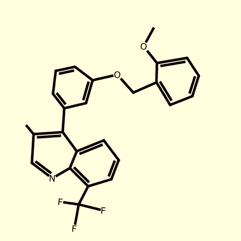 COc1ccccc1COc1cccc(-c2c(C)cnc3c(C(F)(F)F)cccc23)c1